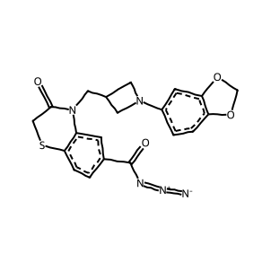 [N-]=[N+]=NC(=O)c1ccc2c(c1)N(CC1CN(c3ccc4c(c3)OCO4)C1)C(=O)CS2